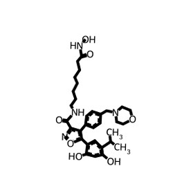 CC(C)c1cc(-c2onc(C(=O)NCCCCCCCC(=O)NO)c2-c2ccc(CN3CCOCC3)cc2)c(O)cc1O